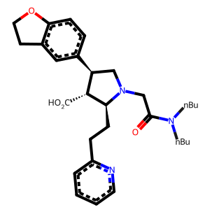 CCCCN(CCCC)C(=O)CN1C[C@H](c2ccc3c(c2)CCO3)[C@@H](C(=O)O)[C@@H]1CCc1ccccn1